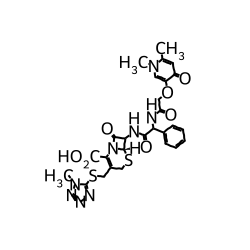 Cc1cc(=O)c(OCC(=O)NC(C(=O)NC2C(=O)N3C(C(=O)O)=C(CSc4nnnn4C)CS[C@@H]23)c2ccccc2)cn1C